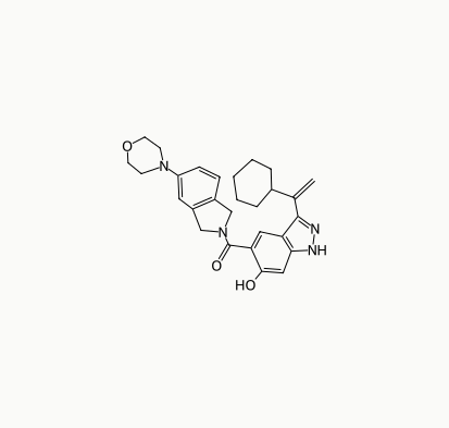 C=C(c1n[nH]c2cc(O)c(C(=O)N3Cc4ccc(N5CCOCC5)cc4C3)cc12)C1CCCCC1